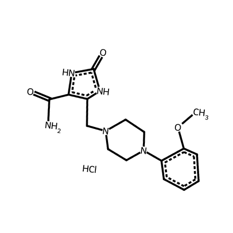 COc1ccccc1N1CCN(Cc2[nH]c(=O)[nH]c2C(N)=O)CC1.Cl